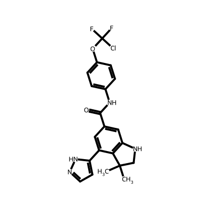 CC1(C)CNc2cc(C(=O)Nc3ccc(OC(F)(F)Cl)cc3)cc(-c3ccn[nH]3)c21